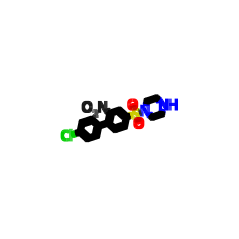 O=[N+]([O-])c1cc(S(=O)(=O)N2CCNCC2)ccc1-c1ccc(Cl)cc1